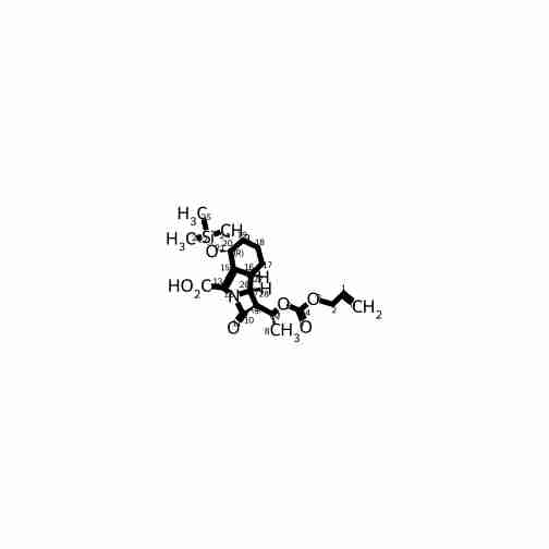 C=CCOC(=O)O[C@H](C)[C@H]1C(=O)N2C(C(=O)O)=C3[C@@H](CCC[C@H]3O[Si](C)(C)C)[C@H]12